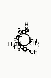 Cn1nc2nc1-c1cc(ccc1F)Sc1c(OF)cc3[nH]ccc3c1CCSCC(C)(C)CCC[C@]2(C)c1cccc(CCO)c1